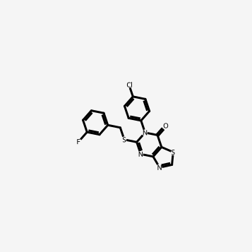 O=c1c2scnc2nc(SCc2cccc(F)c2)n1-c1ccc(Cl)cc1